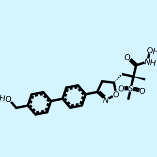 C[C@@](C[C@H]1CC(c2ccc(-c3ccc(CO)cc3)cc2)=NO1)(C(=O)NO)S(C)(=O)=O